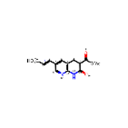 COC(=O)C1Cc2cc(/C=C/C(=O)O)cnc2NC1=O